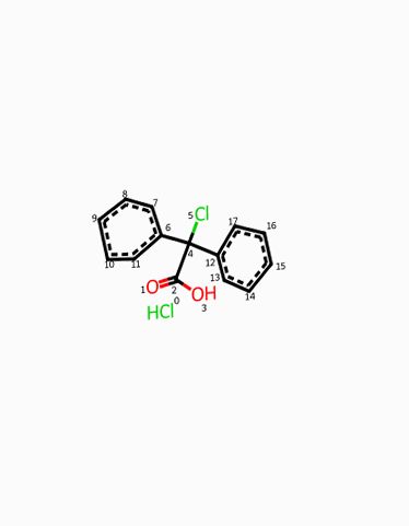 Cl.O=C(O)C(Cl)(c1ccccc1)c1ccccc1